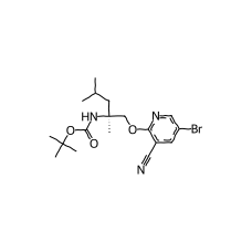 CC(C)C[C@@](C)(COc1ncc(Br)cc1C#N)NC(=O)OC(C)(C)C